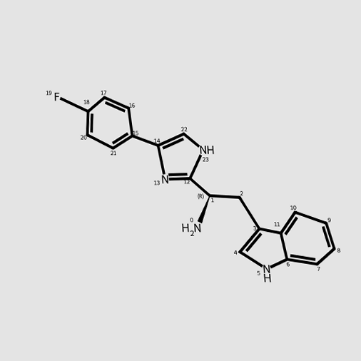 N[C@H](Cc1c[nH]c2ccccc12)c1nc(-c2ccc(F)cc2)c[nH]1